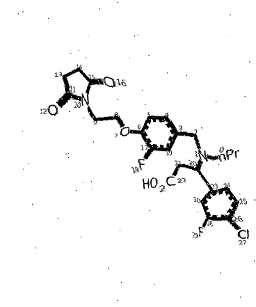 CCCN(Cc1ccc(OCCN2C(=O)CCC2=O)c(F)c1)C(CC(=O)O)c1ccc(Cl)c(F)c1